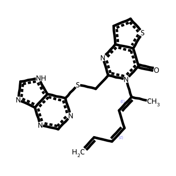 C=C/C=C\C=C(/C)n1c(CSc2ncnc3nc[nH]c23)nc2ccsc2c1=O